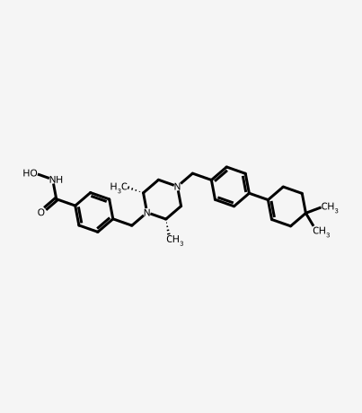 C[C@@H]1CN(Cc2ccc(C3=CCC(C)(C)CC3)cc2)C[C@H](C)N1Cc1ccc(C(=O)NO)cc1